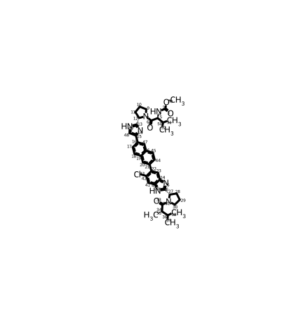 COC(=O)N[C@H](C(=O)N1CCC[C@H]1c1nc(-c2ccc3cc(-c4cc5nc([C@@H]6CCCN6C(=O)[C@@H](C)C(C)C)[nH]c5cc4Cl)ccc3c2)c[nH]1)C(C)C